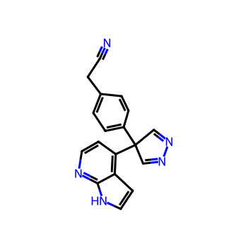 N#CCc1ccc(C2(c3ccnc4[nH]ccc34)C=NN=C2)cc1